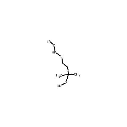 CCOPOCCC(C)(C)SN=O